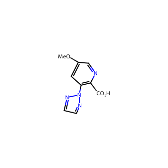 COc1cnc(C(=O)O)c(-n2nccn2)c1